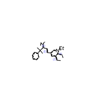 C/C=c1/cc(/C=C/C(=N\C)C(C)(C)c2ccccc2)c[n+](CC)/c1=C/C